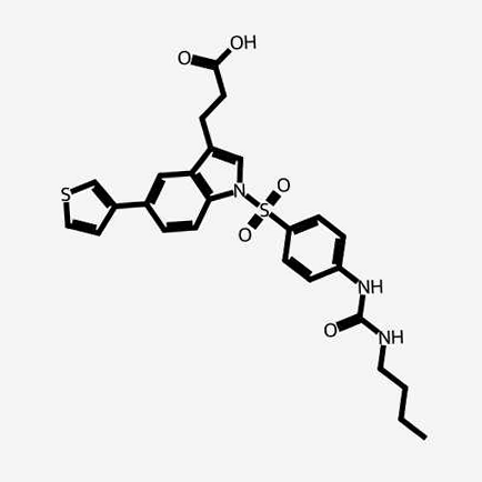 CCCCNC(=O)Nc1ccc(S(=O)(=O)n2cc(CCC(=O)O)c3cc(-c4ccsc4)ccc32)cc1